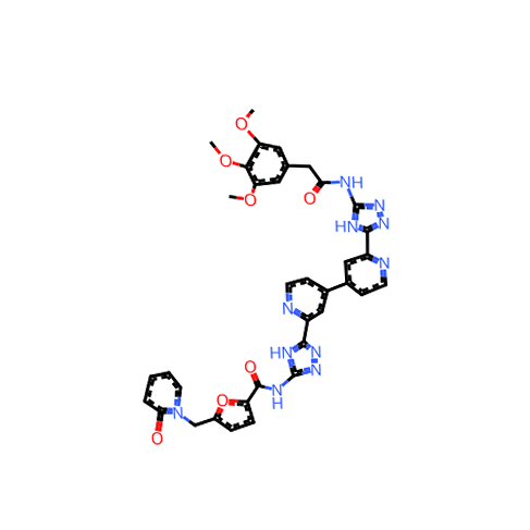 COc1cc(CC(=O)Nc2nnc(-c3cc(-c4ccnc(-c5nnc(NC(=O)c6ccc(Cn7ccccc7=O)o6)[nH]5)c4)ccn3)[nH]2)cc(OC)c1OC